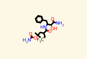 CC(C)(CC(CC(F)(F)F)C(=O)NC(Cc1ccccc1)[C@H](O)C(N)=O)OC(N)=O